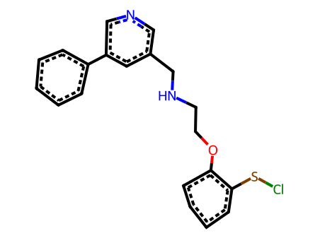 ClSc1ccccc1OCCNCc1cncc(-c2ccccc2)c1